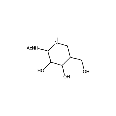 CC(=O)NC1NCC(CO)C(O)C1O